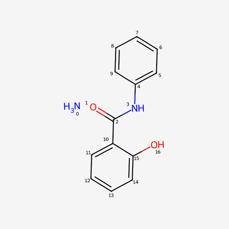 N.O=C(Nc1ccccc1)c1ccccc1O